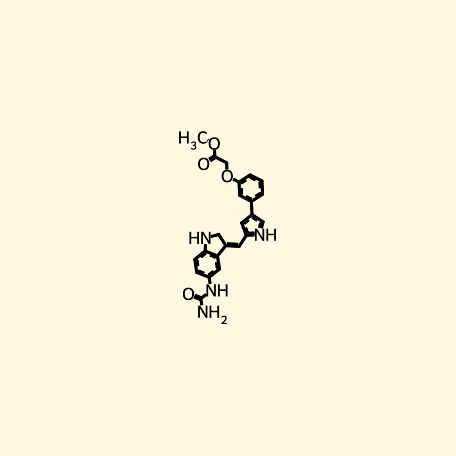 COC(=O)COc1cccc(-c2c[nH]c(C=C3CNc4ccc(NC(N)=O)cc43)c2)c1